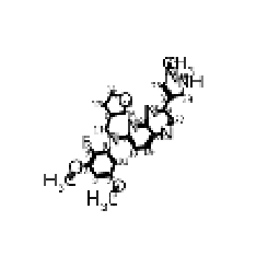 COc1cc(OC)c(F)c(N(CC2CCOC2)c2ccc3ncc(C4=CN(C)NC4)nc3n2)c1